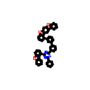 c1ccc(-c2nc(-c3cccc(-c4cccc(-c5cccc6oc7cc8oc9ccccc9c8cc7c56)c4)c3)nc(-c3cccc4oc5ccccc5c34)n2)cc1